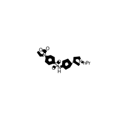 CCCN1CC[C@@H](c2ccc(NS(=O)(=O)c3ccc(N4CCOC4=O)cc3)cc2)C1